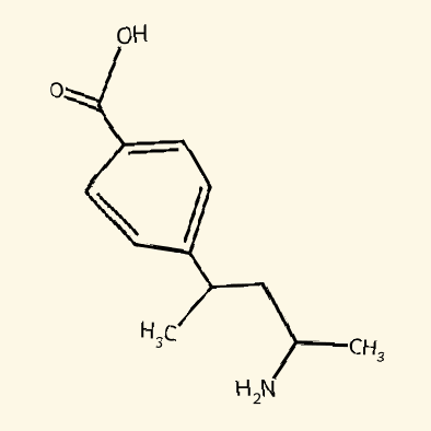 CC(N)CC(C)c1ccc(C(=O)O)cc1